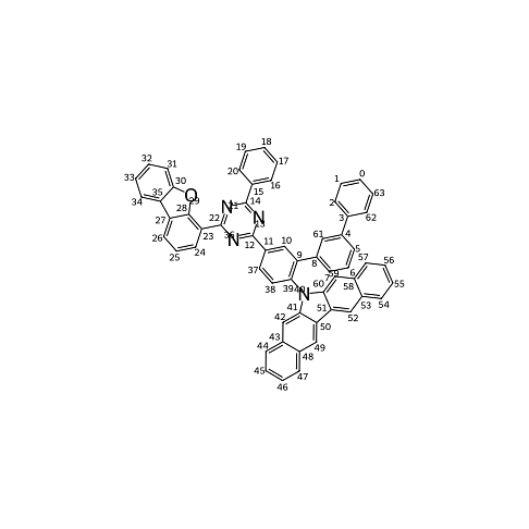 c1ccc(-c2cccc(-c3cc(-c4nc(-c5ccccc5)nc(-c5cccc6c5oc5ccccc56)n4)ccc3-n3c4cc5ccccc5cc4c4cc5ccccc5cc43)c2)cc1